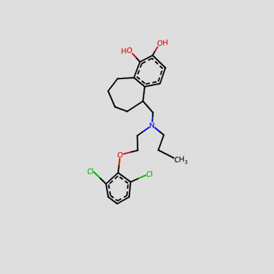 CCCN(CCOc1c(Cl)cccc1Cl)CC1CCCCc2c1ccc(O)c2O